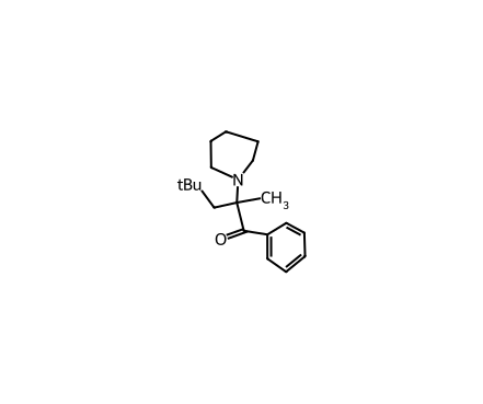 CC(C)(C)CC(C)(C(=O)c1ccccc1)N1CCCCC1